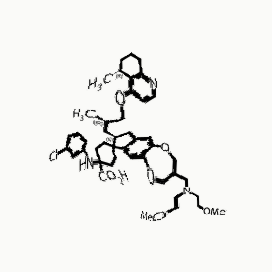 COCCN(CCOC)CC1COc2cc3c(cc2OC1)C1(CCC(Nc2cccc(Cl)c2)(C(=O)O)CC1)[C@@H](C[C@@H](C)COc1ccnc2c1[C@H](C)CCC2)C3